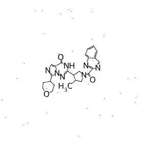 CC1CN(C(=O)c2ncc3ccccc3n2)CC1c1nn2c(C3CCOCC3)ncc2c(=O)[nH]1